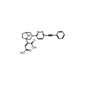 CN1C2CCC1(C(=CC(=O)O)C(=O)O)CN(c1ccc(C#Cc3ccccc3)nn1)C2